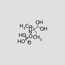 CCC(CC)(NOP(=O)(O)O)C(O)O